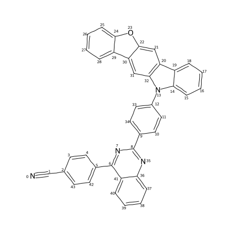 N#Cc1ccc(-c2nc(-c3ccc(-n4c5ccccc5c5cc6oc7ccccc7c6cc54)cc3)nc3ccccc23)cc1